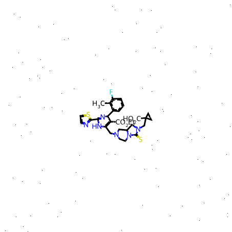 CCOC(=O)C1=C(CN2CCN3C(=S)N(CC4(C(=O)O)CC4)CC3C2)NC(c2nccs2)=NC1c1cccc(F)c1C